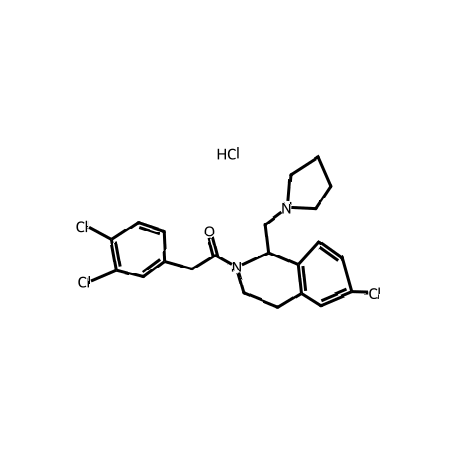 Cl.O=C(Cc1ccc(Cl)c(Cl)c1)N1CCc2cc(Cl)ccc2C1CN1CCCC1